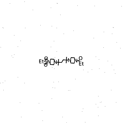 CCC(=O)N1CCN(C(C)(C)CCC(C)(C)N2CCN(S(=O)(=O)CC)CC2)CC1